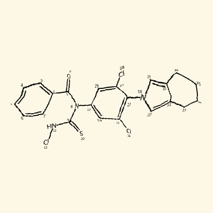 O=C(c1ccccc1)N(C(=S)NCl)c1cc(Cl)c(-n2cc3c(c2)CCCC3)c(Cl)c1